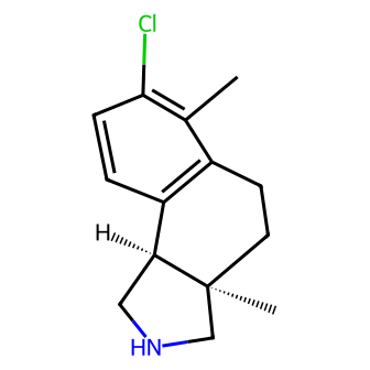 Cc1c(Cl)ccc2c1CC[C@@]1(C)CNC[C@@H]21